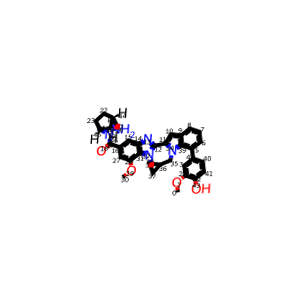 COc1cc(-c2cccc3cc(-c4nc5cc(C(=O)N6C[C@H]7CC[C@@H]6[C@@H]7N)cc(OC)c5n4C)n(CC4CC4)c23)ccc1O